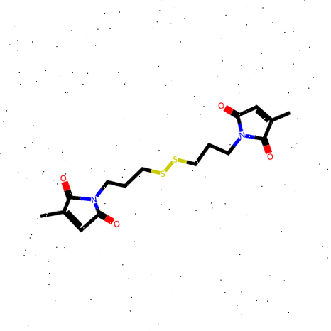 CC1=CC(=O)N(CCCSSCCCN2C(=O)C=C(C)C2=O)C1=O